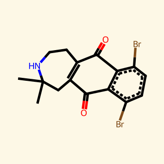 CC1(C)CC2=C(CCN1)C(=O)c1c(Br)ccc(Br)c1C2=O